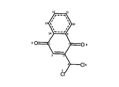 O=C1C=C(C(Cl)Cl)C(=O)c2ccccc21